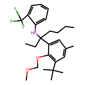 CCCCC(CC)(Pc1ccccc1C(F)(F)F)c1cc(C)cc(C(C)(C)C)c1OCOC